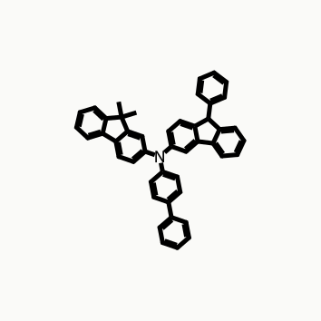 CC1(C)c2ccccc2-c2ccc(N(c3ccc(-c4ccccc4)cc3)c3ccc4c(c3)-c3ccccc3C4c3ccccc3)cc21